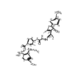 CC(=O)Nc1cc(O)ccc1[As](=O)(O)OC(=O)c1ccc(CC(=O)NN=C(C)c2csc(-c3ccc(C(C)(C)C)cc3)c2O)cc1